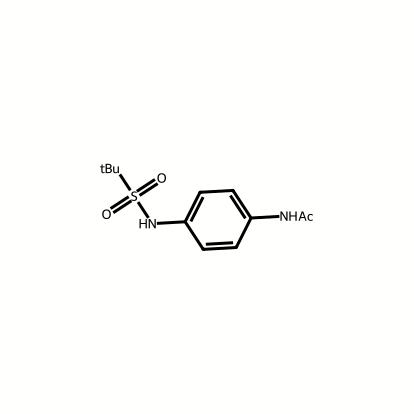 CC(=O)Nc1ccc(NS(=O)(=O)C(C)(C)C)cc1